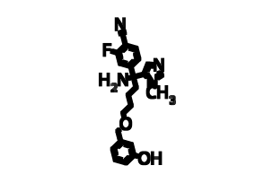 Cn1cncc1C(N)(CCCCOCc1cccc(O)c1)c1ccc(C#N)c(F)c1